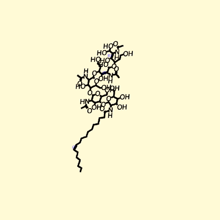 CCCCCC/C=C\CCCCCCCCCC(=O)NC1C(OC2C(CO)OC(OC3C(CO)OC(OC(CCO)/C(O)=C(/NC(C)=O)C(O)OC(CCO)/C(O)=C(\NC(C)=O)C(O)O)C(NC(C)=O)C3O)C(NC(C)=O)C2O)OC(CO)C(O)C1O